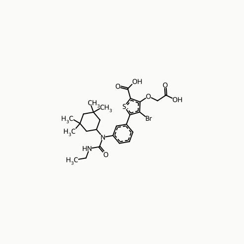 CCNC(=O)N(c1cccc(-c2sc(C(=O)O)c(OCC(=O)O)c2Br)c1)C1CC(C)(C)CC(C)(C)C1